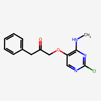 CNc1nc(Cl)ncc1OCC(=O)Cc1ccccc1